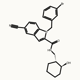 N#Cc1ccc2c(c1)cc(C(=O)NC[C@H]1CCCC[C@@H]1O)n2Cc1cccc(Br)c1